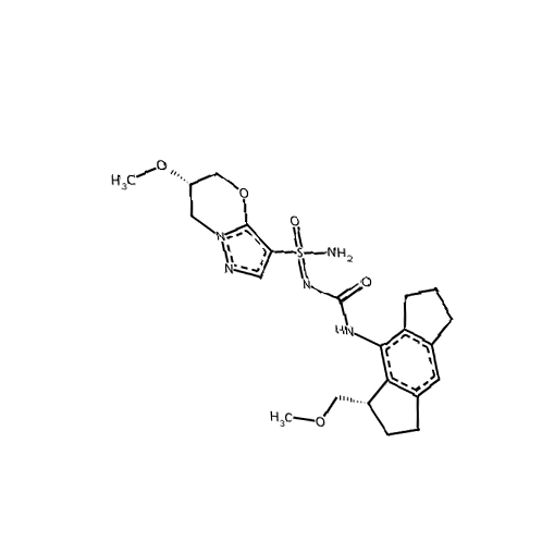 COC[C@H]1CCc2cc3c(c(NC(=O)N=S(N)(=O)c4cnn5c4OC[C@@H](OC)C5)c21)CCC3